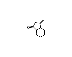 C=C1CC(=O)C2CCCCC12